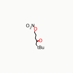 CC(C)(C)CC(=O)CCCO[N+](=O)[O-]